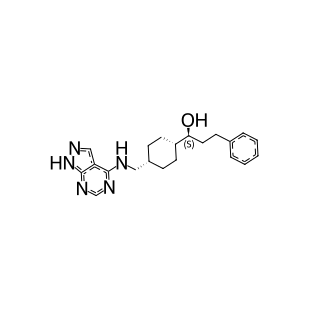 O[C@@H](CCc1ccccc1)[C@H]1CC[C@@H](CNc2ncnc3[nH]ncc23)CC1